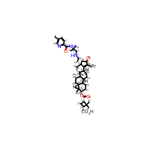 Cc1ccc(C(=O)NC(C)(C)CNCC[C@@]23CC[C@]4(C)[C@H](CC[C@@H]5[C@@]6(C)CC[C@H](OC(=O)[C@H]7C[C@@H](C(=O)O)C7(C)C)C(C)(C)[C@@H]6CC[C@]54C)C2=C(C(C)C)C(=O)C3)nc1